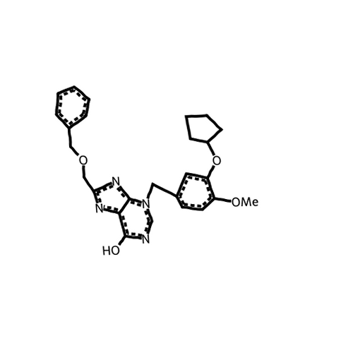 COc1ccc(Cn2cnc(O)c3nc(COCc4ccccc4)nc2-3)cc1OC1CCCC1